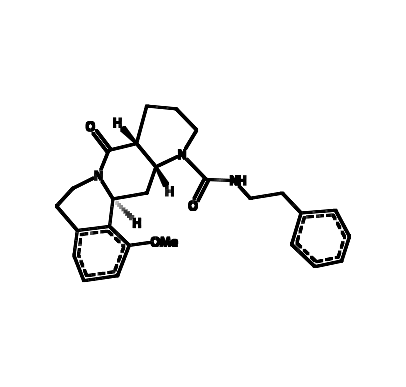 COc1cccc2c1[C@@H]1C[C@@H]3[C@@H](CCCN3C(=O)NCCc3ccccc3)C(=O)N1CC2